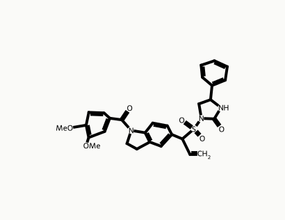 C=CC(c1ccc2c(c1)CCN2C(=O)c1ccc(OC)c(OC)c1)S(=O)(=O)N1CC(c2ccccc2)NC1=O